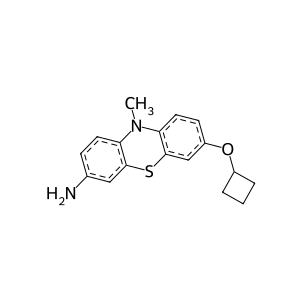 CN1c2ccc(N)cc2Sc2cc(OC3CCC3)ccc21